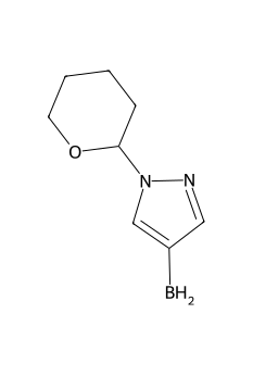 Bc1cnn(C2CCCCO2)c1